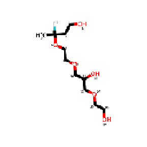 CC(F)(CCO)OCCOCC(O)COCCO